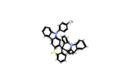 N#Cc1ccc(-n2c3ccccc3c3cc4c(cc32)C2(c3ccccc3S4)c3ccccc3-n3c4ccccc4c4cccc2c43)cc1